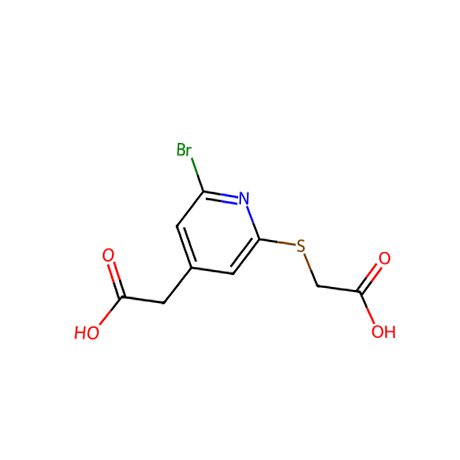 O=C(O)CSc1cc(CC(=O)O)cc(Br)n1